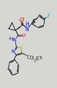 CCOC(=O)c1sc(NC(=O)C2(C(=O)Nc3ccc(F)cc3)CC2)nc1-c1ccccc1